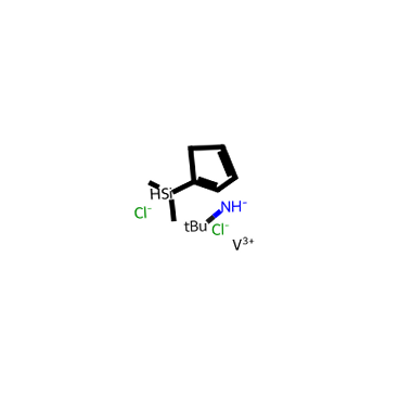 CC(C)(C)[NH-].C[SiH](C)C1=CC=CC1.[Cl-].[Cl-].[V+3]